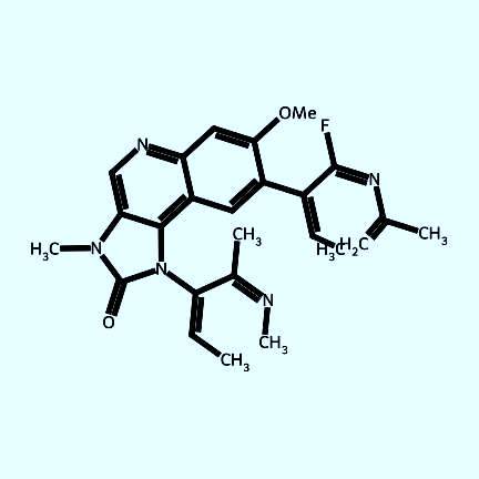 C=C(C)/N=C(F)\C(=C/C)c1cc2c(cc1OC)ncc1c2n(C(=C/C)/C(C)=N\C)c(=O)n1C